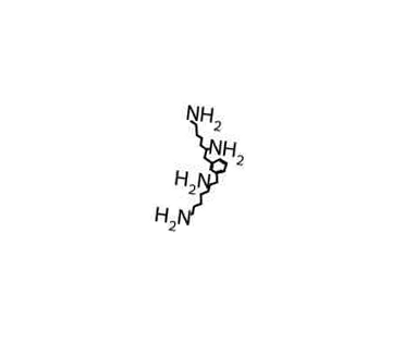 NCCCCCC(N)Cc1cccc(CC(N)CCCCCN)c1